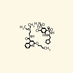 CCCCOc1cc(C(=O)NCCN(CC)CC)c2ccccc2n1.NS(=O)(=O)c1cc2c(cc1Cl)NC(CC1CCCC1)NS2(=O)=O